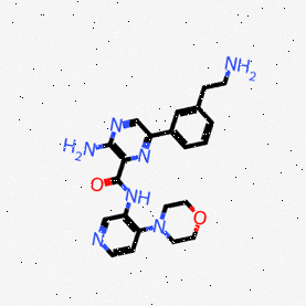 NCCc1cccc(-c2cnc(N)c(C(=O)Nc3cnccc3N3CCOCC3)n2)c1